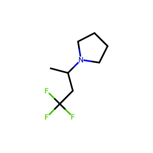 CC(CC(F)(F)F)N1CCCC1